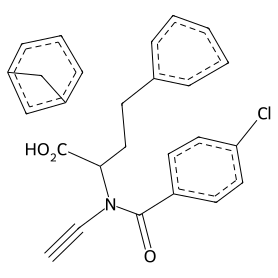 C#CN(C(=O)c1ccc(Cl)cc1)C(CCc1ccccc1)C(=O)O.c1cc2cc(c1)C2